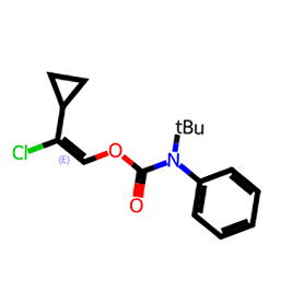 CC(C)(C)N(C(=O)O/C=C(/Cl)C1CC1)c1ccccc1